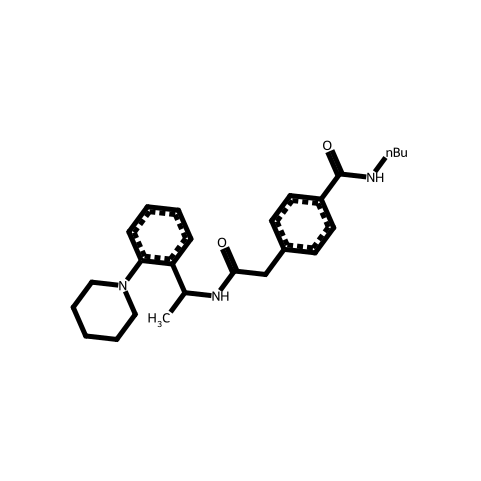 CCCCNC(=O)c1ccc(CC(=O)NC(C)c2ccccc2N2CCCCC2)cc1